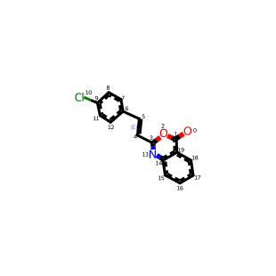 O=c1oc(/C=C/c2ccc(Cl)cc2)nc2ccccc12